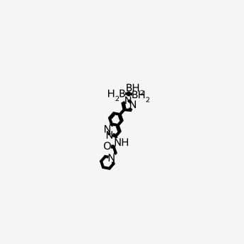 BC(B)(B)n1cc(-c2ccc3nnc(NC(=O)CN4CCCCC4)cc3c2)cn1